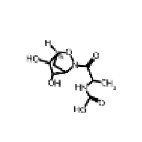 CC(NC(=O)O)C(=O)N1O[C@@H]2CC1C(O)C2O